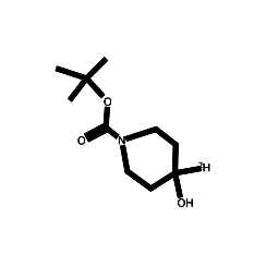 [2H]C1(O)CCN(C(=O)OC(C)(C)C)CC1